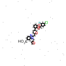 CC1(c2ccc(Cl)cc2F)Oc2cccc(C3=CCC(Cc4nc5ccc(C(=O)O)cc5n4C[C@@H]4CCO4)OC3)c2O1